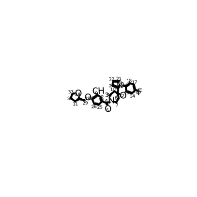 Cc1cc(C(=O)N2CCC3(CC2)Oc2cc(F)ccc2-n2cccc23)ccc1OCC1CCCO1